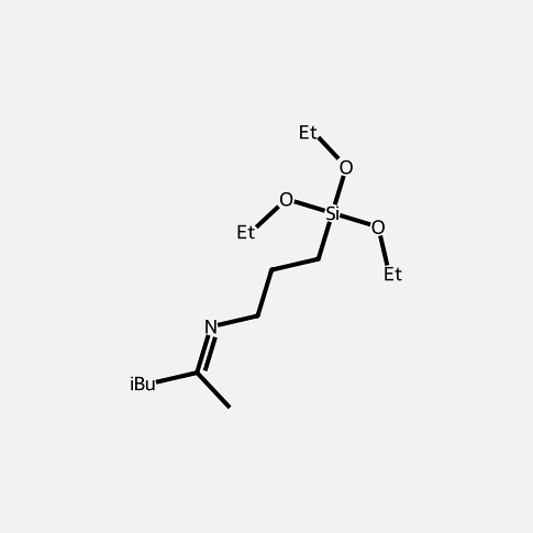 CCO[Si](CCCN=C(C)C(C)CC)(OCC)OCC